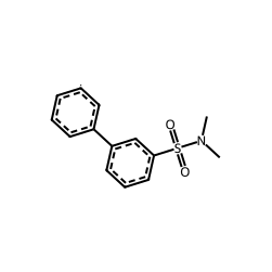 CN(C)S(=O)(=O)c1cccc(-c2c[c]ccc2)c1